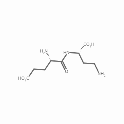 NCC[C@H](NC(=O)[C@@H](N)CCC(=O)O)C(=O)O